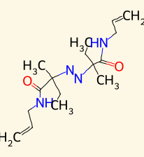 C=CCNC(=O)C(C)(CC)/N=N/C(C)(CC)C(=O)NCC=C